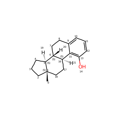 C[C@@]12CCC[C@H]1[C@@H]1CCc3cccc(O)c3[C@H]1CC2